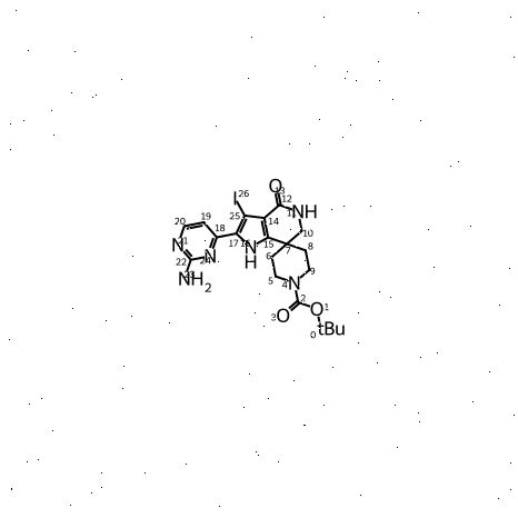 CC(C)(C)OC(=O)N1CCC2(CC1)CNC(=O)c1c2[nH]c(-c2ccnc(N)n2)c1I